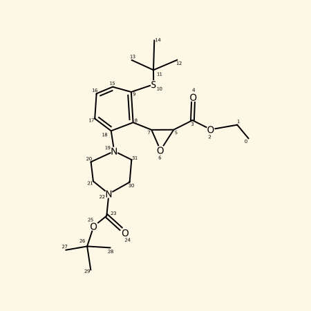 CCOC(=O)C1OC1c1c(SC(C)(C)C)cccc1N1CCN(C(=O)OC(C)(C)C)CC1